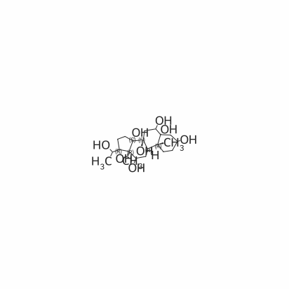 CC(O)[C@@]1(O)CC[C@]2(O)[C@]1(C)C(O)C[C@@H]1[C@@]3(C)CCC(O)CC3(O)C(O)C[C@]12O